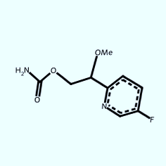 COC(COC(N)=O)c1ccc(F)cn1